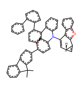 CC1(C)c2ccccc2-c2ccc(-c3ccc(N(C4=C[C@H]5C=C5c5oc6ccccc6c54)c4ccccc4-c4ccccc4-c4ccccc4-c4ccccc4)cc3)cc21